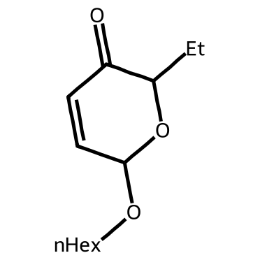 CCCCCCOC1C=CC(=O)C(CC)O1